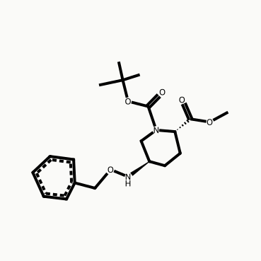 COC(=O)[C@@H]1CC[C@@H](NOCc2ccccc2)CN1C(=O)OC(C)(C)C